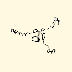 CC(C)OCCOP(=O)(OCCOC(C)C)OCCOC(C)C